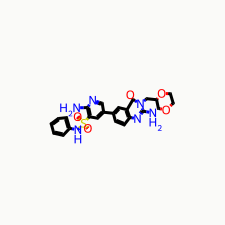 Nc1ncc(-c2ccc3nc(N)n(CC4COCCO4)c(=O)c3c2)cc1S(=O)(=O)Nc1ccccc1